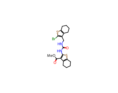 COC(=O)c1c(NC(=O)NCc2c(Br)sc3c2CCCC3)sc2c1CCCC2